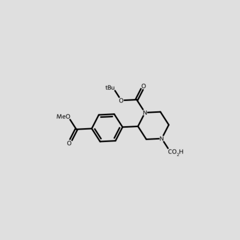 COC(=O)c1ccc(C2CN(C(=O)O)CCN2C(=O)OC(C)(C)C)cc1